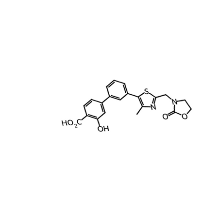 Cc1nc(CN2CCOC2=O)sc1-c1cccc(-c2ccc(C(=O)O)c(O)c2)c1